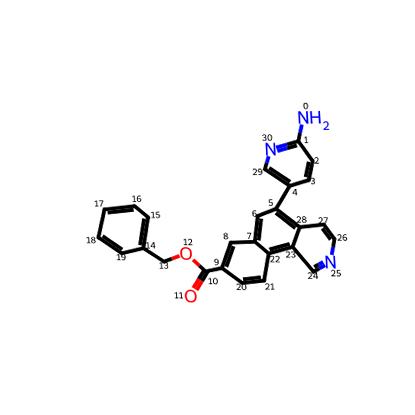 Nc1ccc(-c2cc3cc(C(=O)OCc4ccccc4)ccc3c3cnccc23)cn1